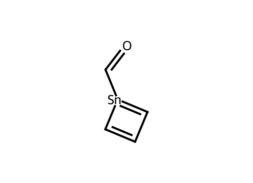 O=[CH][Sn]1=[CH]C=[CH]1